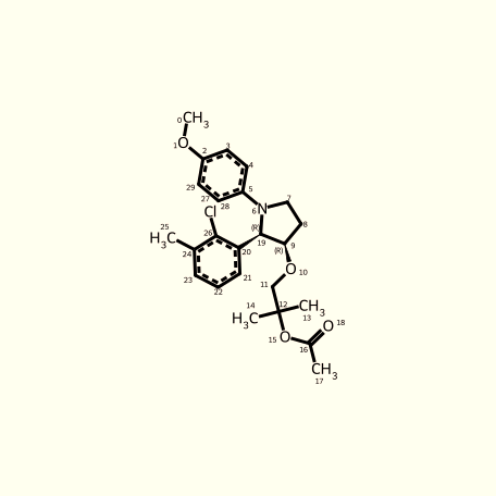 COc1ccc(N2CC[C@@H](OCC(C)(C)OC(C)=O)[C@H]2c2cccc(C)c2Cl)cc1